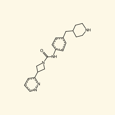 O=C(Nc1ccc(CC2CCNCC2)cc1)N1CC(c2cccnn2)C1